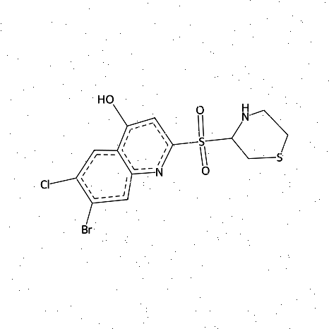 O=S(=O)(c1cc(O)c2cc(Cl)c(Br)cc2n1)C1CSCCN1